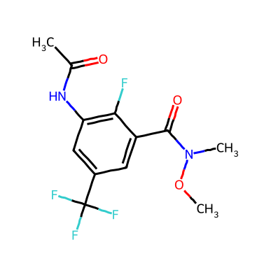 CON(C)C(=O)c1cc(C(F)(F)F)cc(NC(C)=O)c1F